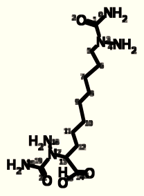 NC(=O)N(N)CCCCCCCCC(C(=O)O)N(N)C(N)=O